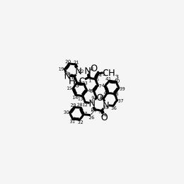 Cc1noc(C)c1C=CC(=O)N(Cc1ccc(-c2ncccn2)cc1)[C@@H](Cc1ccccc1)C(=O)N1CCc2ccccc2C1